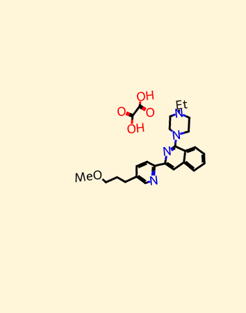 CCN1CCN(c2nc(-c3ccc(CCCOC)cn3)cc3ccccc23)CC1.O=C(O)C(=O)O